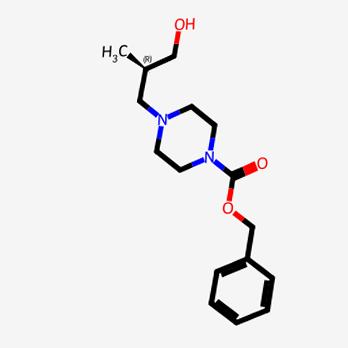 C[C@@H](CO)CN1CCN(C(=O)OCc2ccccc2)CC1